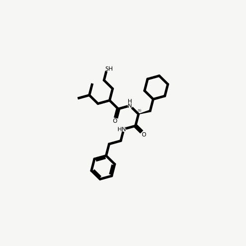 CC(C)CC(CCS)C(=O)N[C@@H](CC1CCCCC1)C(=O)NCCc1ccccc1